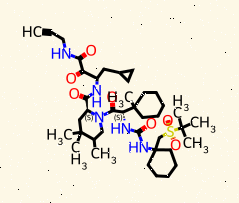 C#CCNC(=O)C(=O)C(CC1CC1)NC(=O)[C@@H]1CC(C)(C)C(C)CN1C(=O)[C@@H](NC(=O)NC1(CS(=O)(=O)C(C)(C)C)CCCCC1)C1(C)CCCCC1